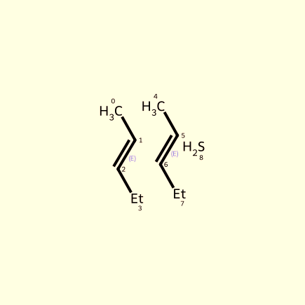 C/C=C/CC.C/C=C/CC.S